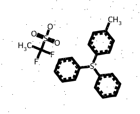 CC(F)(F)S(=O)(=O)[O-].Cc1ccc([S+](c2ccccc2)c2ccccc2)cc1